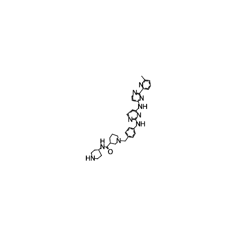 Cc1cccc(-c2nccc(Nc3ccnc(Nc4ccc(CN5CCCC(C(=O)NC6CCNCC6)C5)cc4)n3)n2)n1